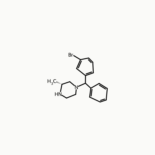 C[C@@H]1CN(C(c2ccccc2)c2cccc(Br)c2)CCN1